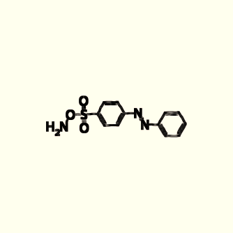 NOS(=O)(=O)c1ccc(N=Nc2ccccc2)cc1